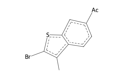 CC(=O)c1ccc2c(C)c(Br)sc2c1